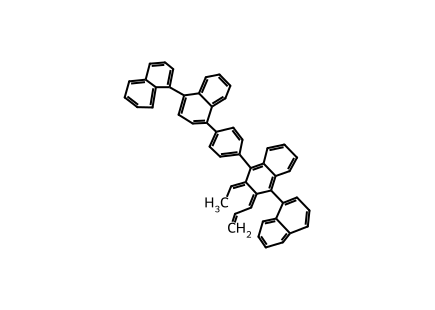 C=C/C=c1/c(-c2cccc3ccccc23)c2ccccc2c(-c2ccc(-c3ccc(-c4cccc5ccccc45)c4ccccc34)cc2)/c1=C/C